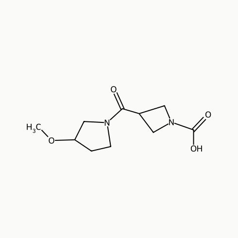 COC1CCN(C(=O)C2CN(C(=O)O)C2)C1